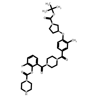 Cc1cc(C(=O)N2CCN(C(=O)c3cccc(F)c3OC(=O)N3CCNCC3)CC2)ccc1O[C@H]1CCN(C(=O)OC(C)(C)C)C1